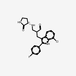 O=CC(CN[C@H]1CCNC1=O)Cc1c(-c2ccc(F)cc2)[nH]c2c(Cl)cccc12